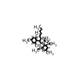 CCCCCCC(CN(C(N)=O)c1c(SC)cc(C)nc1SC)c1c(C)cc(C)cc1C